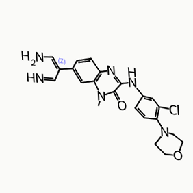 Cn1c(=O)c(Nc2ccc(N3CCOCC3)c(Cl)c2)nc2ccc(/C(C=N)=C/N)cc21